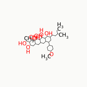 CCC(C)CCC1CC(C2CCC(OC)CC2)C2CC3CC4CC(O)C(C(C)O)C(O)C4(O)C(O)C3C(O)C2C1O